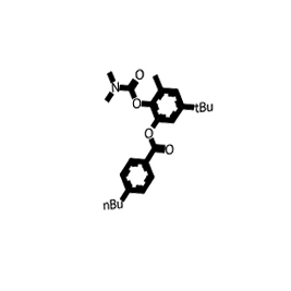 CCCCc1ccc(C(=O)Oc2cc(C(C)(C)C)cc(C)c2OC(=O)N(C)C)cc1